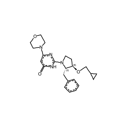 O=c1cc(N2CCOCC2)nc(N2CC[C@@H](OCC3CC3)[C@@H]2Cc2ccccc2)[nH]1